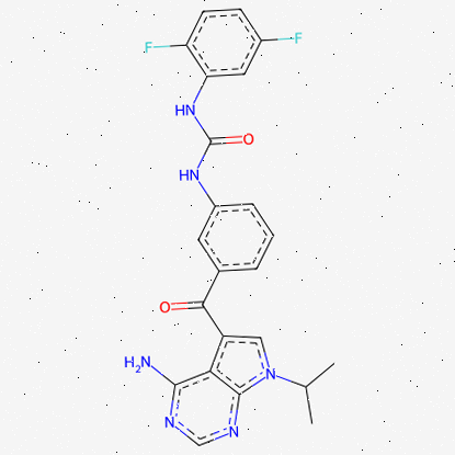 CC(C)n1cc(C(=O)c2cccc(NC(=O)Nc3cc(F)ccc3F)c2)c2c(N)ncnc21